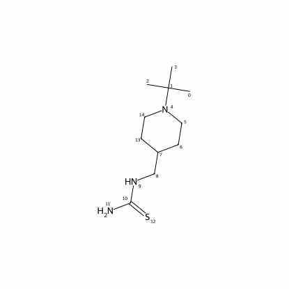 CC(C)(C)N1CCC(CNC(N)=S)CC1